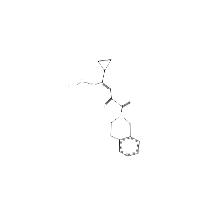 CNN/C(=C\C(=N)C(=O)N1CCc2ccccc2[C@H]1C)C1CC1